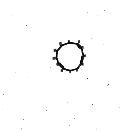 [CH]1CC=CC=CCCC=CCC1